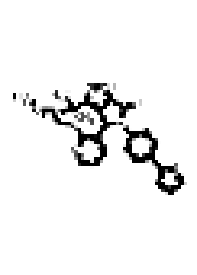 COCCOc1ncccc1C1c2c(C(C)(C)C)n[nH]c2C(=O)N1c1ccc(-c2cccs2)cc1